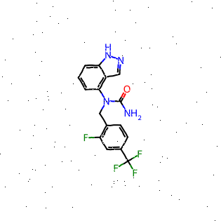 NC(=O)N(Cc1ccc(C(F)(F)F)cc1F)c1cccc2[nH]ncc12